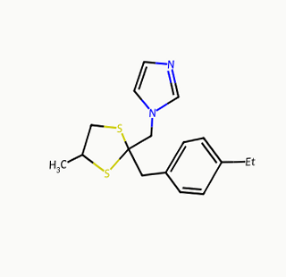 CCc1ccc(CC2(Cn3ccnc3)SCC(C)S2)cc1